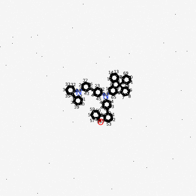 c1ccc(C2(c3ccccc3)c3ccccc3-c3cc(N(c4ccc(-c5cccc(-n6c7ccccc7c7ccccc76)c5)cc4)c4ccc(-c5cccc6oc7ccccc7c56)cc4)ccc32)cc1